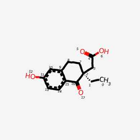 CC[C@@]1(CC(=O)O)CCc2cc(O)ccc2C1=O